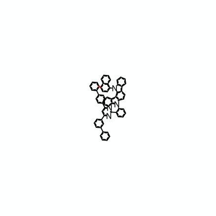 c1ccc(-c2ccc(-c3cc(-c4cccc(-c5ccccc5)c4)nc(-c4ccccc4-n4c5ccccc5c5c4ccc4c6ccccc6n(-c6cccc7ccccc67)c45)n3)cc2)cc1